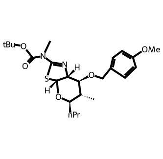 CCC[C@H]1O[C@@H]2SC(N(C)C(=O)OC(C)(C)C)=N[C@@H]2[C@@H](OCc2ccc(OC)cc2)[C@@H]1C